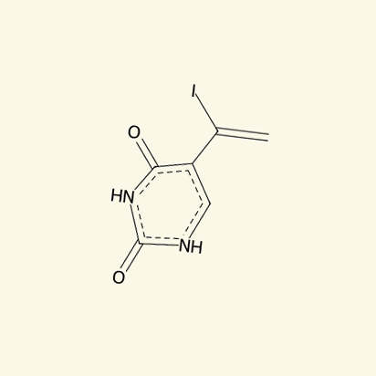 C=C(I)c1c[nH]c(=O)[nH]c1=O